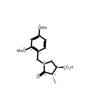 COc1ccc(CN2C[C@@H](C(=O)O)[C@H](C)C2=O)c(OC)c1